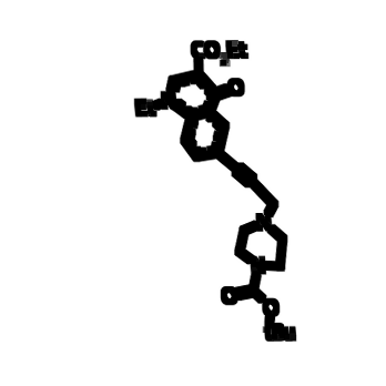 CCOC(=O)c1cn(CC)c2ccc(C#CCN3CCN(C(=O)OC(C)(C)C)CC3)cc2c1=O